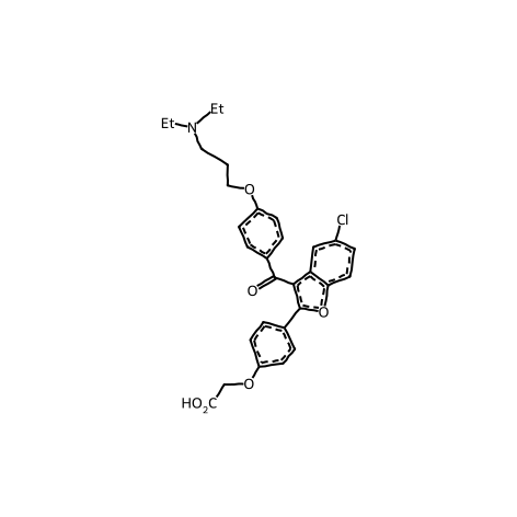 CCN(CC)CCCOc1ccc(C(=O)c2c(-c3ccc(OCC(=O)O)cc3)oc3ccc(Cl)cc23)cc1